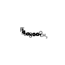 CC(=O)c1ccc(N2CCN(C(=O)Oc3ccc(Oc4ccc(C(F)(F)F)cn4)cc3)CC2)cc1